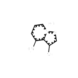 Cl.Nc1cccn2ncc(N)c12